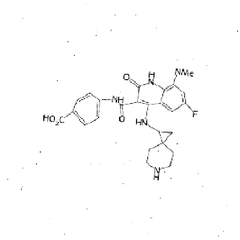 CNc1cc(F)cc2c(NC3CC34CCNCC4)c(C(=O)Nc3ccc(C(=O)O)cc3)c(=O)[nH]c12